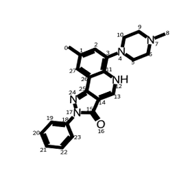 Cc1cc(N2CCN(C)CC2)c2[nH]cc3c(=O)n(-c4ccccc4)nc-3c2c1